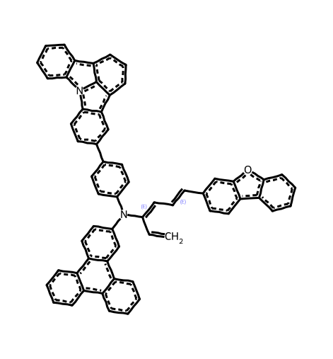 C=C/C(=C\C=C\c1ccc2c(c1)oc1ccccc12)N(c1ccc(-c2ccc3c(c2)c2cccc4c5ccccc5n3c42)cc1)c1ccc2c3ccccc3c3ccccc3c2c1